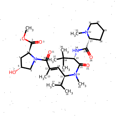 COC(=O)[C@@H]1C[C@@H](O)CN1C(=O)/C(C)=C/[C@H](C(C)C)N(C)C(=O)[C@@H](NC(=O)[C@H]1CCCCN1C)C(C)(C)C